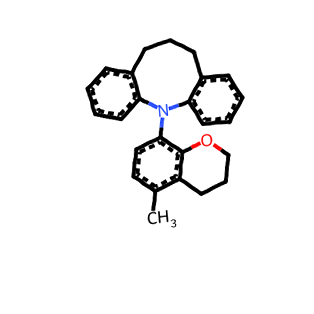 Cc1ccc(N2c3ccccc3CCCc3ccccc32)c2c1CCCO2